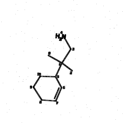 CC(C)(CN)C1C=CCCC1